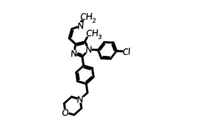 C=N/C=C\c1nc(-c2ccc(CN3CCOCC3)cc2)n(-c2ccc(Cl)cc2)c1C